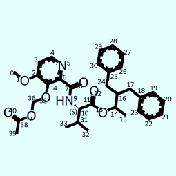 COc1ccnc(C(=O)N[C@H](C(=O)OC(C)C(Cc2ccccc2)Cc2ccccc2)C(C)C)c1OCOC(C)=O